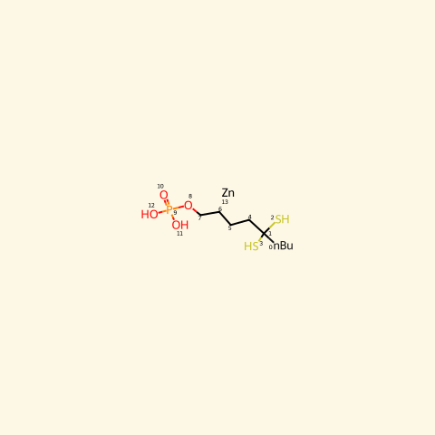 CCCCC(S)(S)CCCCOP(=O)(O)O.[Zn]